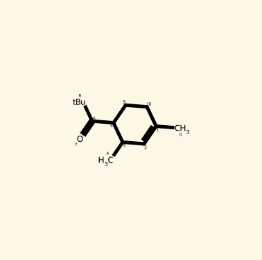 CC1=CC(C)C(C(=O)C(C)(C)C)CC1